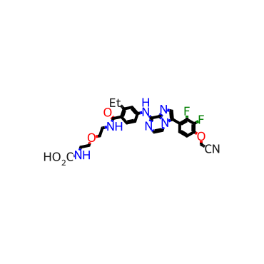 CCc1cc(Nc2nccn3c(-c4ccc(OCC#N)c(F)c4F)cnc23)ccc1C(=O)NCCOCCNC(=O)O